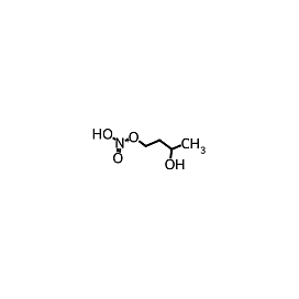 CC(O)CCO[N+](=O)O